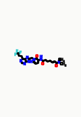 CN(C)C(=O)/C=C/CCCC(=O)Nc1cccn(Cc2nc3c(CCC(F)(F)F)ncnc3[nH]2)c1=O